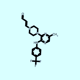 Cc1cnc(Nc2ccc(C(F)(F)F)cc2)c(N2CCN(C=CC=O)CC2)n1